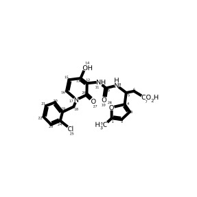 Cc1ccc(C(CC(=O)O)NC(=O)Nc2c(O)ccn(Cc3ccccc3Cl)c2=O)o1